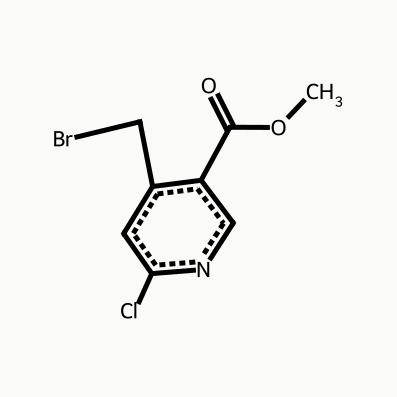 COC(=O)c1cnc(Cl)cc1CBr